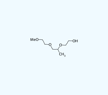 COCCOCC(C)OCCO